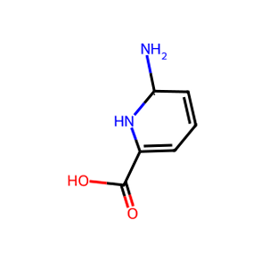 N[C]1C=CC=C(C(=O)O)N1